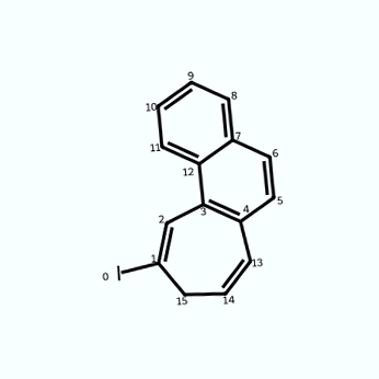 IC1=Cc2c(ccc3ccccc23)C=CC1